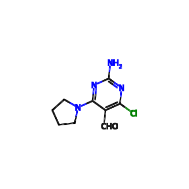 Nc1nc(Cl)c(C=O)c(N2CCCC2)n1